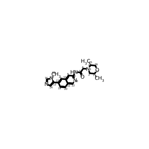 C[C@@H]1CN(CC(=O)Nc2cc3cc(-c4cncn4C)ccc3cn2)[C@H](C)CO1